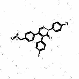 O=c1c(-c2ccc(F)cc2)c(-c2ccc(C[SH](=O)=O)cc2)cnn1-c1ccc(Cl)cc1